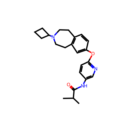 CC(C)C(=O)Nc1ccc(Oc2ccc3c(c2)CCN(C2CCC2)CC3)nc1